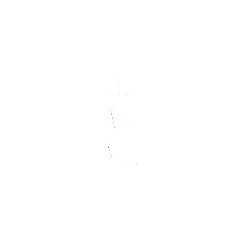 CC(C)OCOC[C]=O